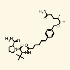 C[C@@H](CCC(N)=O)[C@@H](C)OCc1ccc(/C=C/CCCC(=O)N[C@H](C(=O)N2CCC[C@H]2C(N)=O)C(C)(C)C)cc1